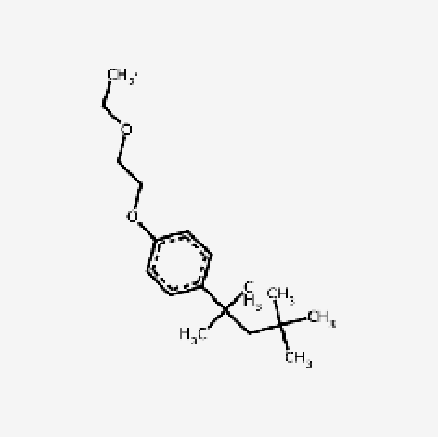 [CH2]COCCOc1ccc(C(C)(C)CC(C)(C)C)cc1